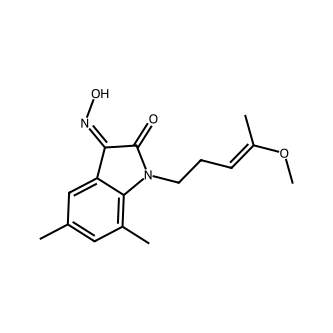 CO/C(C)=C/CCN1C(=O)/C(=N\O)c2cc(C)cc(C)c21